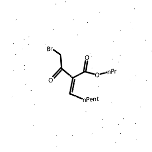 CCCCCC=C(C(=O)CBr)C(=O)OCCC